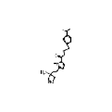 CCC(N)(CO)CCc1ccc(C(=O)CCCc2ccc(C(C)C)cc2)n1C